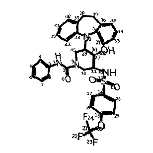 O=C(Nc1ccccc1)N1CC(NS(=O)(=O)c2ccc(OC(F)(F)F)cc2)[C@H](O)C(N2c3ccccc3CCc3ccccc32)C1